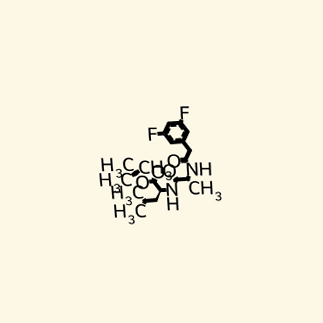 CC(C)C[C@H](NC(=O)[C@H](C)NC(=O)Cc1cc(F)cc(F)c1)C(=O)OC(C)(C)C